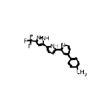 Cc1ccc(-c2ccnc(-c3ccc(-c4cc(C(F)(F)F)n[nH]4)[nH]3)c2)cc1